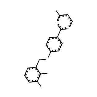 N#Cc1cccc(COc2ccc(-c3nccc(C(=O)O)n3)cc2)c1Cl